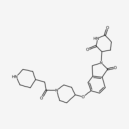 O=C1CCC(N2Cc3cc(OC4CCN(C(=O)CC5CCNCC5)CC4)ccc3C2=O)C(=O)N1